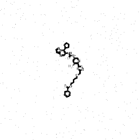 Cc1cc(NC(=O)Nc2cnc3ccnn3c2C2CCCC2)cnc1-c1noc(COCCCCOC(=O)c2ccccc2)n1